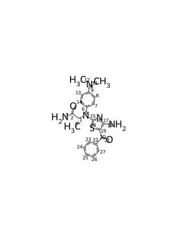 C[C@H](C(N)=O)N(c1ccc(N(C)C)cc1)c1nc(N)c(C(=O)c2ccccc2)s1